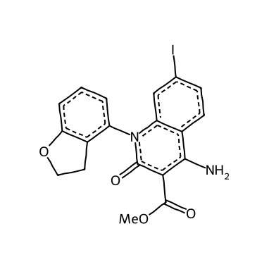 COC(=O)c1c(N)c2ccc(I)cc2n(-c2cccc3c2CCO3)c1=O